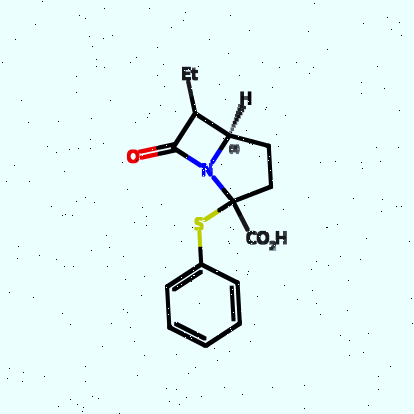 CCC1C(=O)N2[C@@H]1CCC2(Sc1ccccc1)C(=O)O